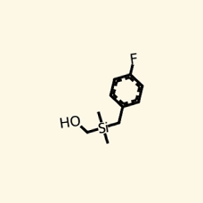 C[Si](C)(CO)Cc1ccc(F)cc1